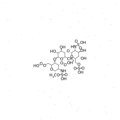 CC1O[C@@H](O[C@@H]2C(COOO)O[C@@H](C)C(NS(=O)(=O)O)[C@H]2OOO)C(O)[C@@H](O)[C@@H]1O[C@H]1OC(COS(=O)(=O)O)[C@@H](O)[C@H](O)C1NS(=O)(=O)O